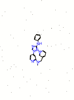 CN(Cc1cccnc1)c1cc(-n2cnc(Nc3ccccc3)n2)ccn1